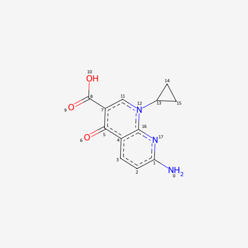 Nc1ccc2c(=O)c(C(=O)O)cn(C3CC3)c2n1